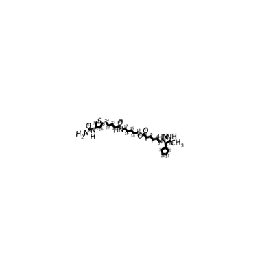 CC1NNN(CCCCCC(=O)OCCCCCNC(=O)CCCC[C@@H]2C[C@@H](NC(N)=O)CS2)C1C1CCCC1